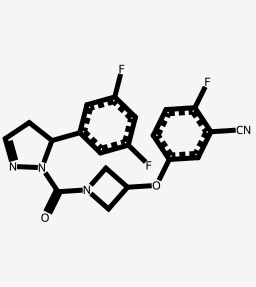 N#Cc1cc(OC2CN(C(=O)N3N=CCC3c3cc(F)cc(F)c3)C2)ccc1F